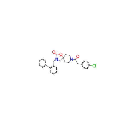 O=C(Cc1ccc(Cl)cc1)N1CCC2(CC1)CN(Cc1ccccc1-c1ccccc1)C(=O)O2